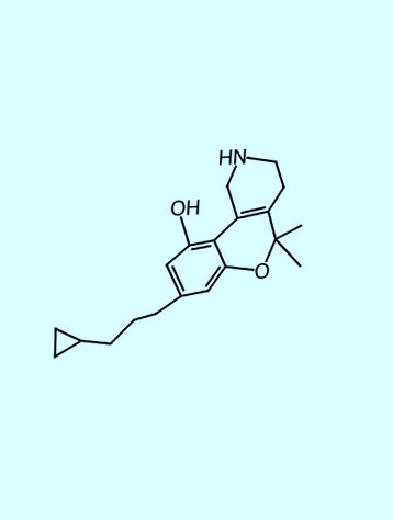 CC1(C)Oc2cc(CCCC3CC3)cc(O)c2C2=C1CCNC2